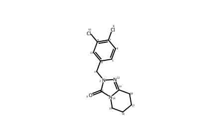 O=c1n(Cc2ccc(Cl)c(Cl)c2)nc2n1CCCC2